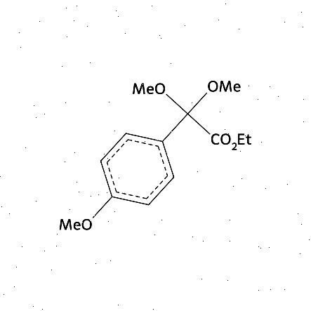 CCOC(=O)C(OC)(OC)c1ccc(OC)cc1